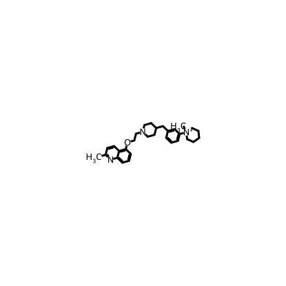 Cc1ccc2c(OCCN3CCC(Cc4cccc([N+]5(C)CCCCC5)c4)CC3)cccc2n1